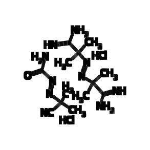 CC(C)(C#N)N=NC(N)=O.CC(C)(N=NC(C)(C)C(=N)N)C(=N)N.Cl.Cl